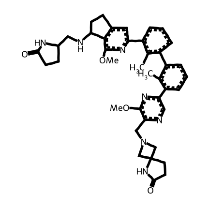 COc1nc(-c2cccc(-c3cccc(-c4cc5c(c(OC)n4)C(NCC4CCC(=O)N4)CC5)c3C)c2C)cnc1CN1CC2(CCC(=O)N2)C1